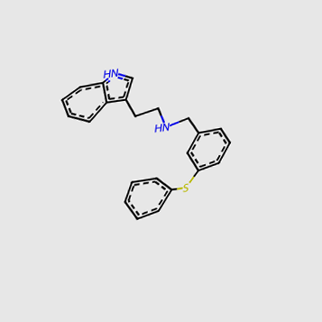 c1ccc(Sc2cccc(CNCCc3c[nH]c4ccccc34)c2)cc1